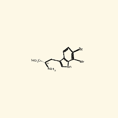 N[C@@H](Cc1c[nH]c2c(Br)c(Br)ccc12)C(=O)O